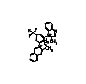 Cc1c(-[n+]2cc3ccccc3cc2C)cc(C(F)(F)F)cc1-[n+]1c(C)cnc2ccccc21